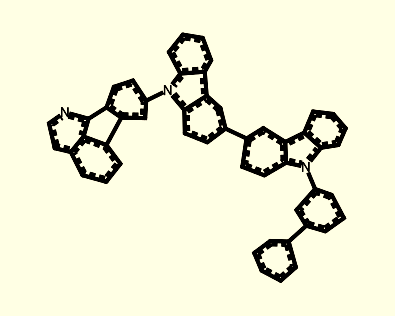 c1ccc(-c2cccc(-n3c4ccccc4c4cc(-c5ccc6c(c5)c5ccccc5n6-c5ccc6c(c5)-c5cccc7ccnc-6c57)ccc43)c2)cc1